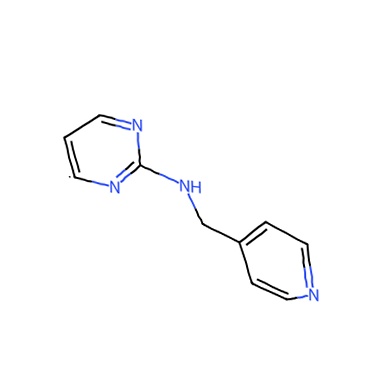 [c]1ccnc(NCc2ccncc2)n1